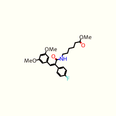 COC(=O)CCCCCNC(=O)/C(=C\c1cc(OC)cc(OC)c1)c1ccc(F)cc1